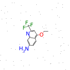 CCOc1cc(C(F)(F)F)nc2cc(N)ccc12